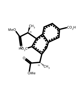 COC(=O)[C@@H](C)c1cc2cc(C(=O)O)ccc2c([C@H](C)C(=O)OC)c1C(=O)O